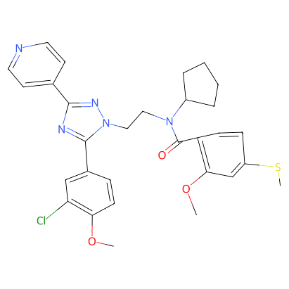 COc1ccc(-c2nc(-c3ccncc3)nn2CCN(C(=O)c2ccc(SC)cc2OC)C2CCCC2)cc1Cl